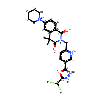 CC1(C)C(=O)N(Cc2ccc(-c3nnc(C(F)F)o3)cn2)C(=O)c2ccc(N3CCCCC3)cc21